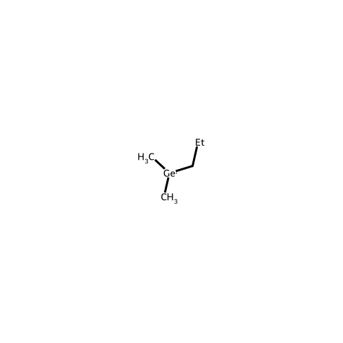 CC[CH2][Ge]([CH3])[CH3]